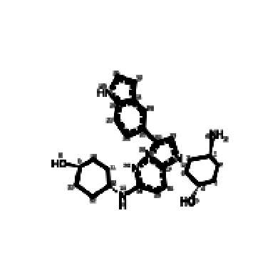 N[C@H]1CC[C@H](O)CC1.O[C@H]1CC[C@H](Nc2ccc3ncc(-c4ccc5[nH]ccc5c4)n3n2)CC1